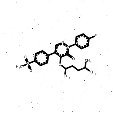 CC(C)CCC(C)Oc1c(-c2ccc(S(C)(=O)=O)cc2)cnn(-c2ccc(F)cc2)c1=O